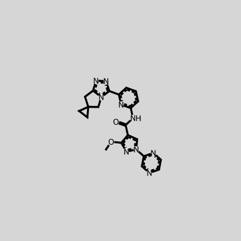 COc1nn(-c2cnccn2)cc1C(=O)Nc1cccc(-c2nnc3n2CC2(CC2)C3)n1